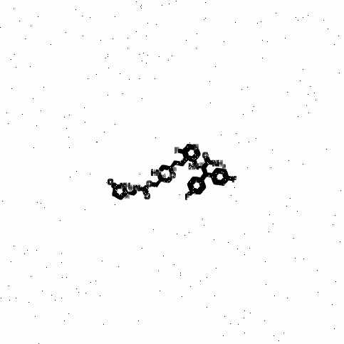 NC(=O)[C@@H](Nc1cncc(F)c1CC[C@@H]1CN[C@H](COC(=O)NC[C@H]2CCC(=O)N2)CO1)C(c1ccc(F)cc1)c1ccc(F)cc1